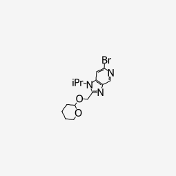 CC(C)n1c(COC2CCCCO2)nc2cnc(Br)cc21